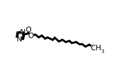 CCCCCCCCCCCCCCCCCCOC(=O)c1cnccn1